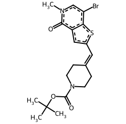 Cn1cc(Br)c2sc(C=C3CCN(C(=O)OC(C)(C)C)CC3)cc2c1=O